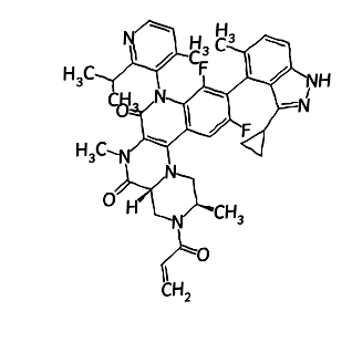 C=CC(=O)N1C[C@@H]2C(=O)N(C)c3c(c4cc(F)c(-c5c(C)ccc6[nH]nc(C7CC7)c56)c(F)c4n(-c4c(C)ccnc4C(C)C)c3=O)N2C[C@H]1C